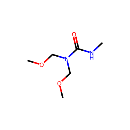 CNC(=O)N(COC)COC